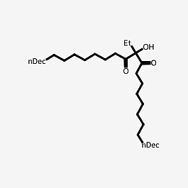 CCCCCCCCCCCCCCCCCC(=O)C(O)(CC)C(=O)CCCCCCCCCCCCCCCCC